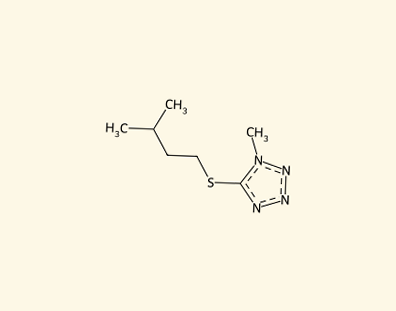 CC(C)CCSc1nnnn1C